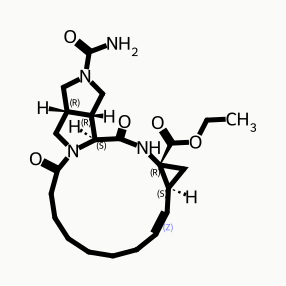 CCOC(=O)[C@@]12C[C@H]1/C=C\CCCCCCC(=O)N1C[C@@H]3CN(C(N)=O)C[C@@H]3[C@H]1C(=O)N2